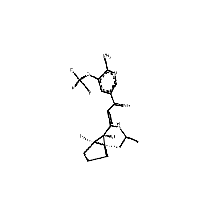 CC1C[C@]23CCC[C@H]2[C@@H]3/C(=C/C(=N)c2cnc(N)c(OC(F)(F)F)c2)N1